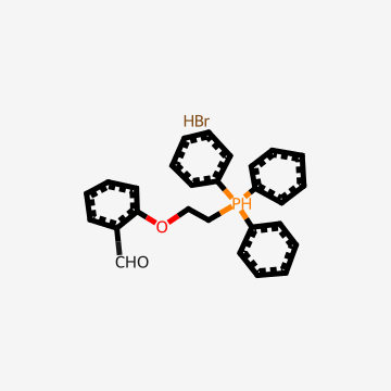 Br.O=Cc1ccccc1OCC[PH](c1ccccc1)(c1ccccc1)c1ccccc1